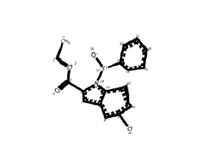 CCOC(=O)c1cc2cc(Cl)ccc2n1[S+]([O-])c1ccccc1